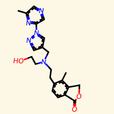 Cc1cncc(-n2cc(CN(CCO)CCc3ccc4c(c3C)COC4=O)cn2)n1